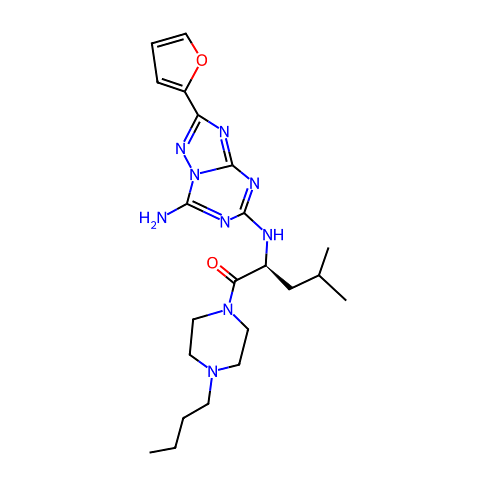 CCCCN1CCN(C(=O)[C@H](CC(C)C)Nc2nc(N)n3nc(-c4ccco4)nc3n2)CC1